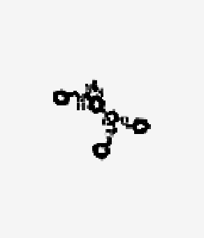 Cc1nc(NCc2ccccc2)c2ccc([C@H]3C[C@H](OCc4ccccc4)[C@@H](COCc4ccccc4)O3)cc2n1